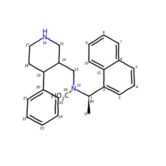 C[C@H](c1cccc2ccccc12)N(CC1CNCCC1c1ccccc1)C(=O)O